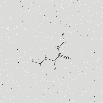 CCOC(=O)C(C)OCC